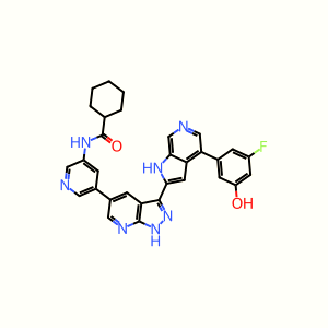 O=C(Nc1cncc(-c2cnc3[nH]nc(-c4cc5c(-c6cc(O)cc(F)c6)cncc5[nH]4)c3c2)c1)C1CCCCC1